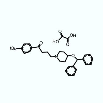 CC(C)(C)c1ccc(C(=O)CCCN2CCC(OC(c3ccccc3)c3ccccc3)CC2)cc1.O=C(O)C(=O)O